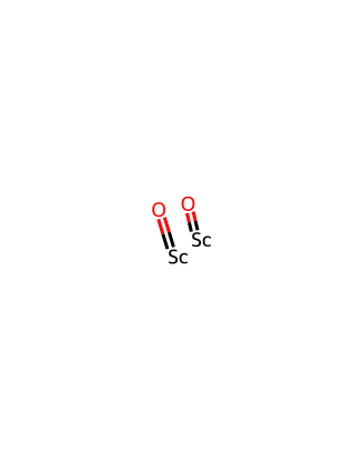 [O]=[Sc].[O]=[Sc]